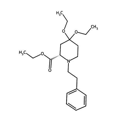 CCOC(=O)[C@@H]1CC(OCC)(OCC)CCN1CCc1ccccc1